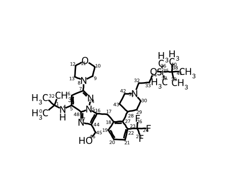 CC(C)(C)Nc1cc(N2CCOCC2)nn2c(Cc3cccc(C(F)(F)F)c3C3CCN(CCO[Si](C)(C)C(C)(C)C)CC3)c(CO)nc12